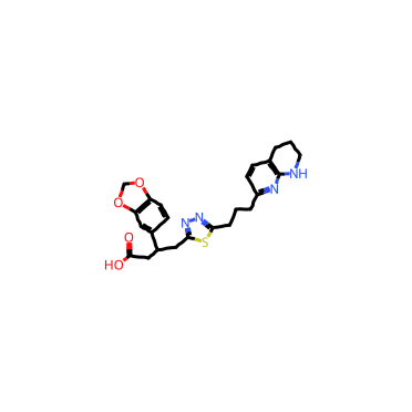 O=C(O)CC(Cc1nnc(CCCc2ccc3c(n2)NCCC3)s1)c1ccc2c(c1)OCO2